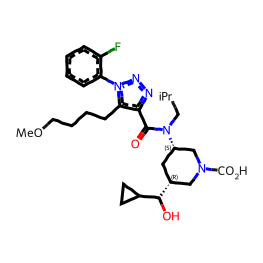 COCCCCc1c(C(=O)N(CC(C)C)[C@H]2C[C@@H](C(O)C3CC3)CN(C(=O)O)C2)nnn1-c1ccccc1F